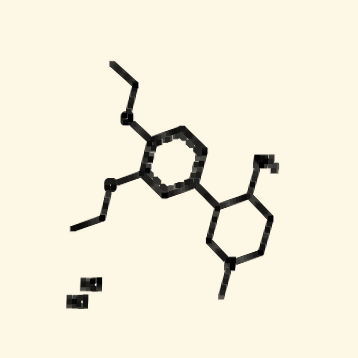 CCOc1ccc(C2CN(C)CCC2N)cc1OCC.Cl.Cl